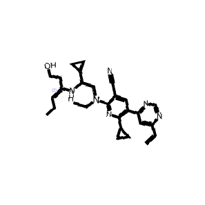 C=Cc1cc(-c2cc(C#N)c(N(CC)CC(N/C(=C\CC)CCO)C3CC3)nc2C2CC2)ncn1